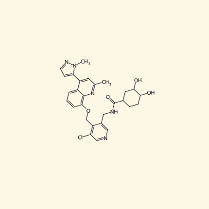 Cc1cc(-c2ccnn2C)c2cccc(OCc3c(Cl)cncc3CNC(=O)C3CCC(O)C(O)C3)c2n1